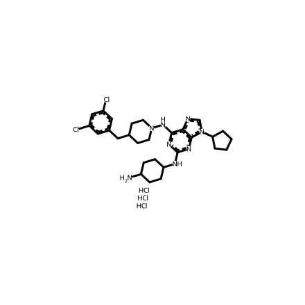 Cl.Cl.Cl.NC1CCC(Nc2nc(NN3CCC(Cc4cc(Cl)cc(Cl)c4)CC3)c3ncn(C4CCCC4)c3n2)CC1